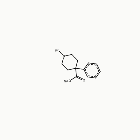 COC(=O)C1(c2ccccc2)CCN(C(C)C)CC1